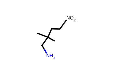 CC(C)(CN)CC[N+](=O)[O-]